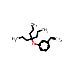 C=Cc1cccc(OC(CCC)(CCC)CCC)c1